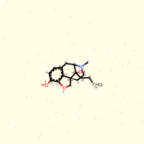 CN1CC[C@@]23COc4c(O)ccc(c42)CC1C3(O)CCC=O